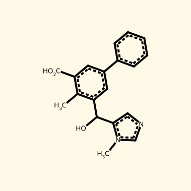 Cc1c(C(=O)O)cc(-c2ccccc2)cc1C(O)c1cncn1C